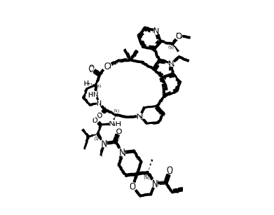 C=CC(=O)N1CCOC2(CCN(C(=O)N(C)[C@H](C(=O)N[C@H]3CN4CCC=C(C4)c4ccc5c(c4)c(c(-c4cccnc4[C@H](C)OC)n5CC)CC(C)(C)COC(=O)[C@@H]4CCCN(N4)C3=O)C(C)C)CC2)[C@@H]1C